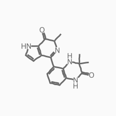 CC1N=C(c2cccc3c2NC(C)(C)C(=O)N3)c2cc[nH]c2C1=O